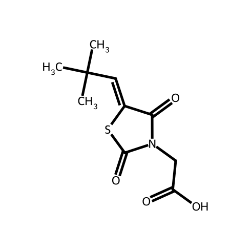 CC(C)(C)C=C1SC(=O)N(CC(=O)O)C1=O